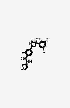 Cc1cc(C2=NOC(c3cc(Cl)cc(Cl)c3)(C(F)(F)F)C2)ccc1C(=O)N[C@@H]1CCOC1